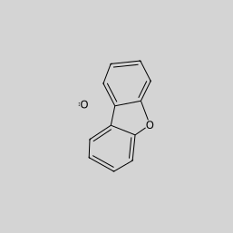 [O].c1ccc2c(c1)oc1ccccc12